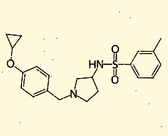 Cc1cccc(S(=O)(=O)NC2CCN(Cc3ccc(OC4CC4)cc3)C2)c1